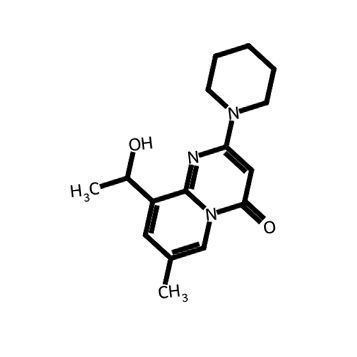 Cc1cc(C(C)O)c2nc(N3CCCCC3)cc(=O)n2c1